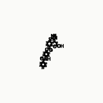 O=C(O)CCn1nnnc1SC1CCN(C(=O)Oc2ccc(NC(=O)c3ccccc3)cc2)CC1